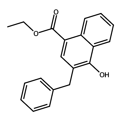 CCOC(=O)c1cc(Cc2ccccc2)c(O)c2ccccc12